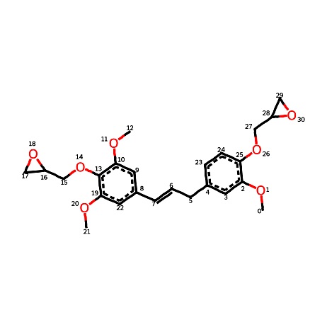 COc1cc(CC=Cc2cc(OC)c(OCC3CO3)c(OC)c2)ccc1OCC1CO1